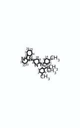 Cc1ccc2c(c1)[Si](C)(C)c1cc(C)ccc1N2c1ccc(-n2c3ccccc3c3ncccc32)cn1